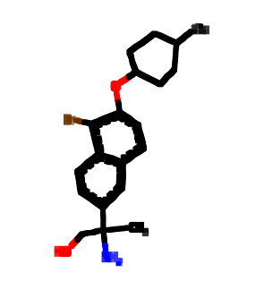 CC(N)(CO)c1ccc2c(Br)c(OC3CCC(C(C)(C)C)CC3)ccc2c1